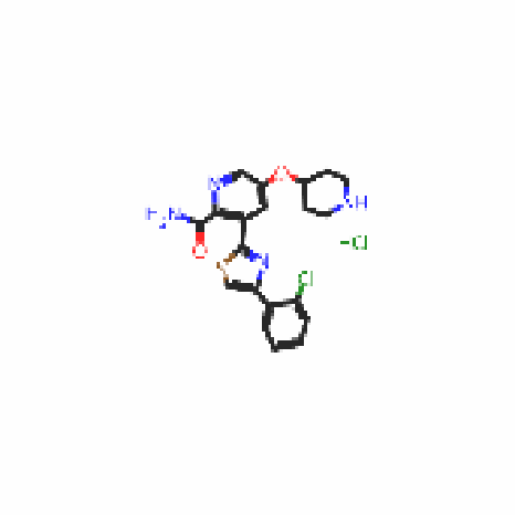 Cl.NC(=O)c1ncc(OC2CCNCC2)cc1-c1nc(-c2ccccc2Cl)cs1